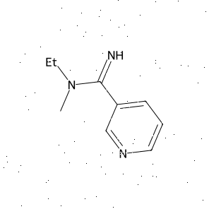 CCN(C)C(=N)c1cccnc1